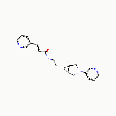 O=C(/C=C/c1cccnc1)NCC[C@@H]1[C@H]2CN(c3cccnc3)C[C@@H]12